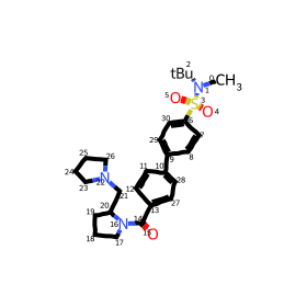 CN(C(C)(C)C)S(=O)(=O)c1ccc(-c2ccc(C(=O)N3CCCC3CN3CCCC3)cc2)cc1